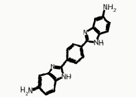 Nc1ccc2[nH]c(-c3ccc(-c4nc5cc(N)ccc5[nH]4)cc3)nc2c1